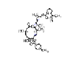 C/C(=C\C=C\[C@H](C)COC(=O)N1CCCC1C(C)O)[C@H]1OC(=O)C[C@@H](O)CC[C@](C)(O)[C@H](OC(=O)N2CCN(C)CC2)/C=C/[C@@H]1C